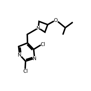 CC(C)OC1CN(Cc2cnc(Cl)nc2Cl)C1